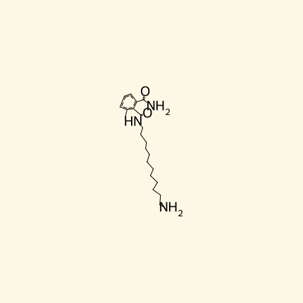 Cc1cccc(C(N)=O)c1C(=O)NCCCCCCCCCCCCN